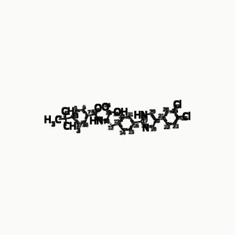 CC(C)(C)c1ccc(C(=O)N[C@@H](Cc2ccc(C3N=CC(c4ccc(Cl)c(Cl)c4)=CN3)cc2)C(=O)O)cc1